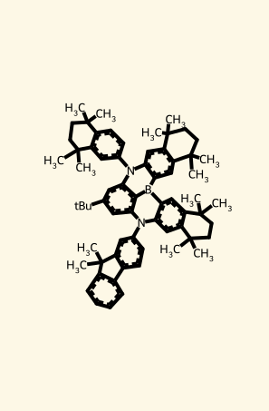 CC(C)(C)c1cc2c3c(c1)N(c1ccc4c(c1)C(C)(C)c1ccccc1-4)c1cc4c(cc1B3c1cc3c(cc1N2c1ccc2c(c1)C(C)(C)CCC2(C)C)C(C)(C)CCC3(C)C)C(C)(C)CCC4(C)C